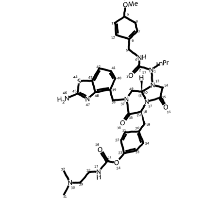 CCCN(C(=O)NCC1=CCC(OC)C=C1)N1CC(=O)N2[C@@H](Cc3ccc(OC(=O)NCCN(C)C)cc3)C(=O)N(Cc3cccc4sc(N)nc34)C[C@@H]21